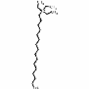 CCCCCCCCCCCCCCCC[P+](CC)(CC)CC